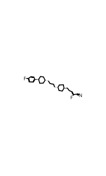 N#CC(F)=CCC[C@H]1CC[C@H](CCCC[C@H]2CC[C@H](c3ccc(F)cc3)CC2)CC1